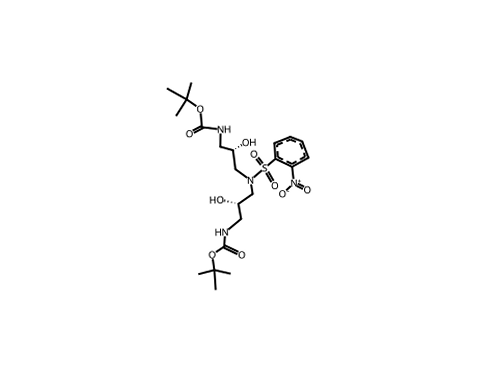 CC(C)(C)OC(=O)NC[C@H](O)CN(C[C@@H](O)CNC(=O)OC(C)(C)C)S(=O)(=O)c1ccccc1[N+](=O)[O-]